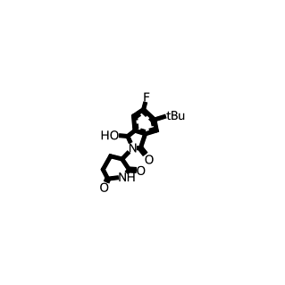 CC(C)(C)c1cc2c(cc1F)C(O)N(C1CCC(=O)NC1=O)C2=O